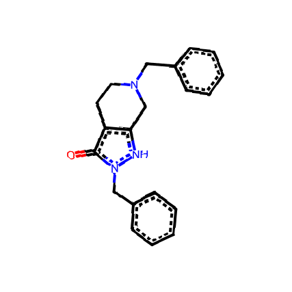 O=c1c2c([nH]n1Cc1ccccc1)CN(Cc1ccccc1)CC2